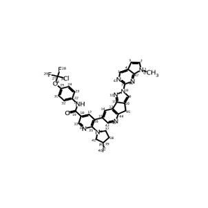 Cn1ccc2cnc(-n3cc4c(n3)-c3cc(-c5cc(C(=O)Nc6ccc(OC(F)(F)Cl)cc6)cnc5N5CC[C@@H](F)C5)cnc3C4)nc21